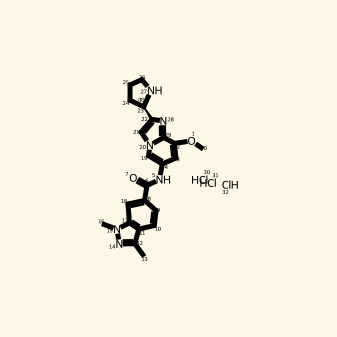 COc1cc(NC(=O)c2ccc3c(C)nn(C)c3c2)cn2cc([C@H]3CCCN3)nc12.Cl.Cl.Cl